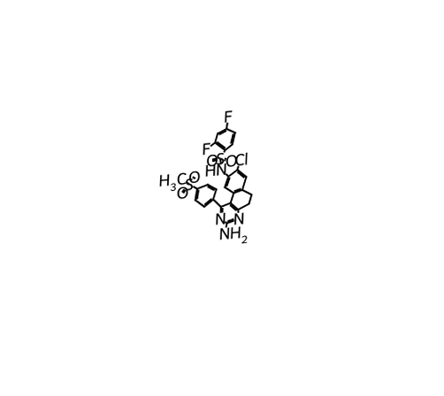 CS(=O)(=O)c1ccc(-c2nc(N)nc3c2-c2cc(NS(=O)(=O)c4ccc(F)cc4F)c(Cl)cc2CC3)cc1